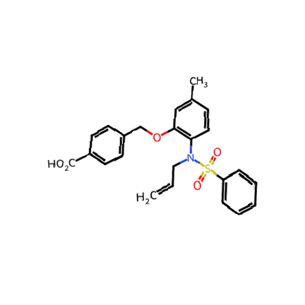 C=CCN(c1ccc(C)cc1OCc1ccc(C(=O)O)cc1)S(=O)(=O)c1ccccc1